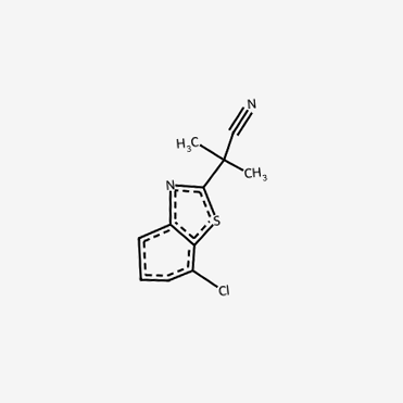 CC(C)(C#N)c1nc2cccc(Cl)c2s1